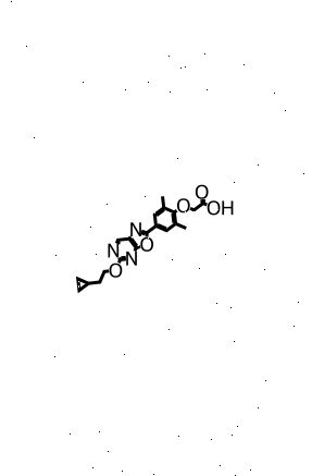 Cc1cc(-c2nc3cnc(OCCC4CC4)nc3o2)cc(C)c1OCC(=O)O